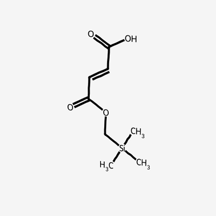 C[Si](C)(C)COC(=O)/C=C/C(=O)O